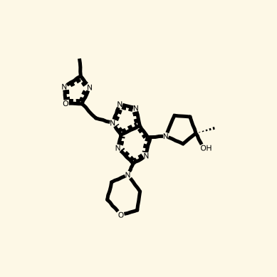 Cc1noc(Cn2nnc3c(N4CC[C@@](C)(O)C4)nc(N4CCOCC4)nc32)n1